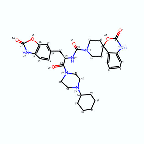 O=C1Nc2ccccc2C2(CCN(C(=O)N[C@H](Cc3ccc4[nH]c(=O)oc4c3)C(=O)N3CCN(C4CCCCC4)CC3)CC2)O1